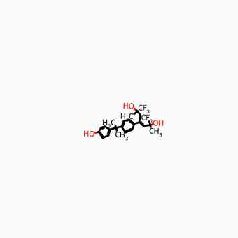 CC(C)(c1ccc(O)cc1)c1ccc(/C(=C/C(C)(O)C(F)(F)F)CC(C)(O)C(F)(F)F)cc1